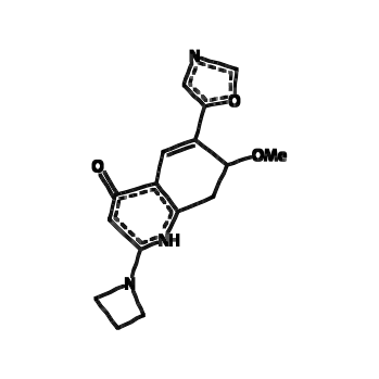 COC1Cc2[nH]c(N3CCC3)cc(=O)c2C=C1c1cnco1